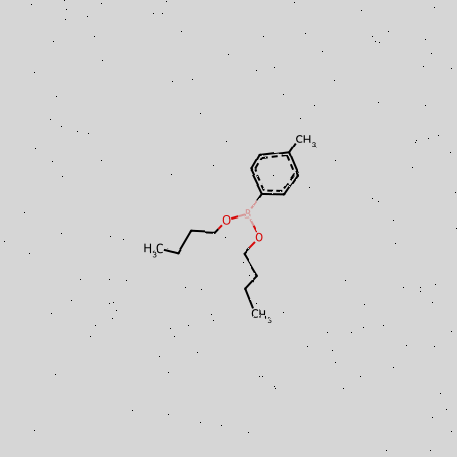 CCCCOB(OCCCC)c1ccc(C)cc1